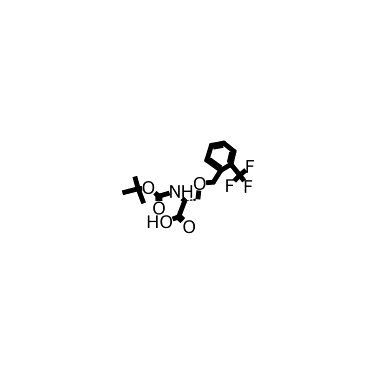 CC(C)(C)OC(=O)N[C@H](COCc1ccccc1C(F)(F)F)C(=O)O